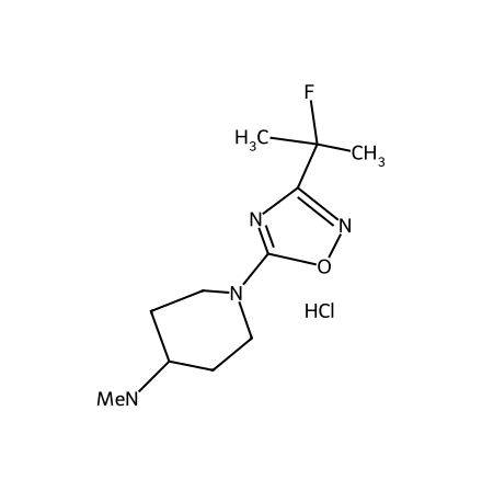 CNC1CCN(c2nc(C(C)(C)F)no2)CC1.Cl